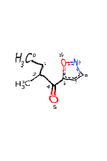 CCC(C)C(=O)c1ccno1